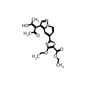 CCOC(=O)c1sc(-c2ccn3ncc(/C(C(C)=O)=C(\C)O)c3c2)nc1OCC